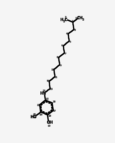 CC(C)CCCCCCCCCCCNc1ccc(O)c(O)c1